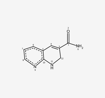 NC(=O)C1=Cc2cccnc2NC1